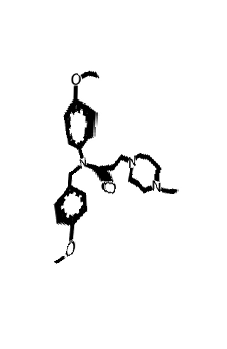 COc1ccc(CN(C(=O)CN2CCN(C)CC2)c2ccc(OC)cc2)cc1